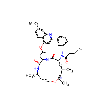 C=C1/C=C(/C)OCCCC(C(=O)O)NC(=O)C2CC(Oc3cc(-c4ccccc4)nc4cc(OC)ccc34)CN2C(=O)C(NC(=O)CCC(C)C)C1